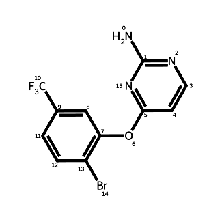 Nc1nccc(Oc2cc(C(F)(F)F)ccc2Br)n1